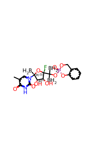 BC(B)(OP1(=O)OCc2ccccc2O1)[C@@]1(F)O[C@@](B)(n2cc(C)c(=O)[nH]c2=O)[C@H](O)[C@@H]1O